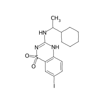 CC(NC1=NS(=O)(=O)c2cc(I)ccc2N1)C1CCCCC1